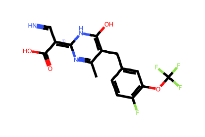 CC1=N/C(=C(/C=N)C(=O)O)NC(O)=C1Cc1ccc(F)c(OC(F)(F)F)c1